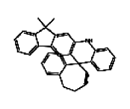 CC1(C)c2ccccc2-c2cc3c(cc21)Nc1ccccc1C31c2ccccc2CCc2ccccc21